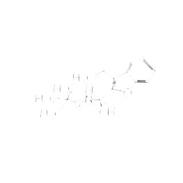 CCc1c([C@@H](C)NSC(C)(C)C)oc2ccccc12